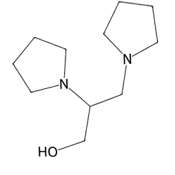 OCC(CN1CCCC1)N1CCCC1